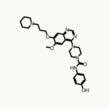 COc1cc2c(N3CCN(C(=O)Nc4ccc(O)cc4)CC3)ncnc2cc1OCCCN1CCCCC1